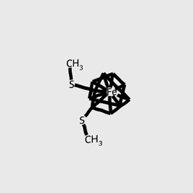 CS[C]12[CH]3[CH]4[CH]5[C]1(SC)[Fe]43521678[CH]2[CH]1[CH]6[CH]7[CH]28